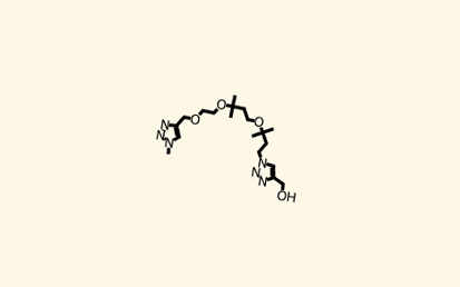 Cn1cc(COCCOC(C)(C)CCOC(C)(C)CCn2cc(CO)nn2)nn1